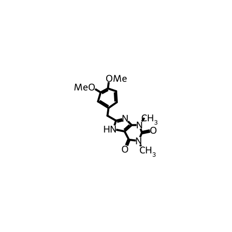 COc1ccc(Cc2nc3c([nH]2)c(=O)n(C)c(=O)n3C)cc1OC